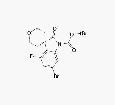 CC(C)(C)OC(=O)N1C(=O)C2(CCOCC2)c2c(F)cc(Br)cc21